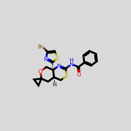 O=C(NC1=N[C@]2(c3nc(Br)cs3)COC3(CC3)C[C@@H]2CS1)c1ccccc1